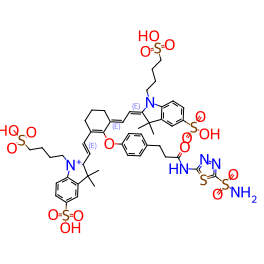 CC1(C)C(/C=C/C2=C(Oc3ccc(CCC(=O)Nc4nnc(S(N)(=O)=O)s4)cc3)C(=C/C=C3/N(CCCCS(=O)(=O)O)c4ccc(S(=O)(=O)O)cc4C3(C)C)/CCC2)=[N+](CCCCS(=O)(=O)O)c2ccc(S(=O)(=O)O)cc21